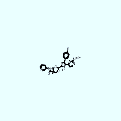 COc1nccc(-c2[nH]c(C3OCC(C)(C(=O)Nc4cccnc4)CO3)nc2-c2ccc(F)cc2)n1